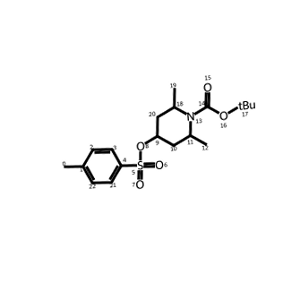 Cc1ccc(S(=O)(=O)OC2CC(C)N(C(=O)OC(C)(C)C)C(C)C2)cc1